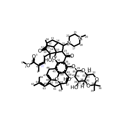 COC(=O)/C(C)=C\CC1(O)C(=O)CCC2C(N3CCN(C)CC3)C3C(=O)c4c(O[C@H]5O[C@H]6COC(C)(C)O[C@@H]6[C@@H](O)[C@@H]5O)c5c(c(CC=C(C)C)c4OC31C2C(C)C)OC(C)(CCC=C(C)C)C=C5